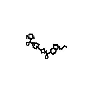 CCCn1ccc2cc(C(=O)N3CC(N4CCN(C(=O)c5nccs5)CC4)C3)ccc21